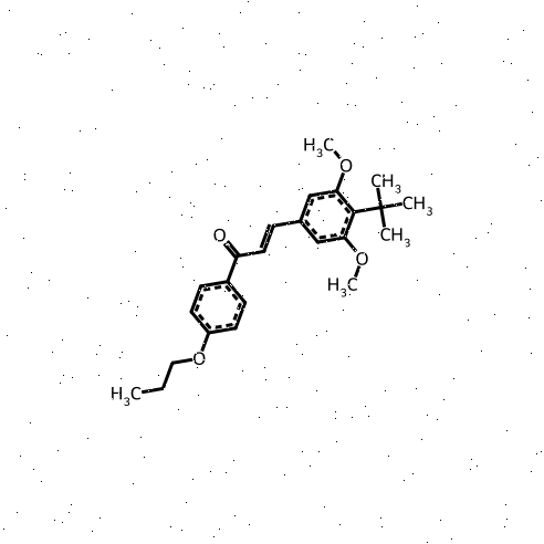 CCCOc1ccc(C(=O)C=Cc2cc(OC)c(C(C)(C)C)c(OC)c2)cc1